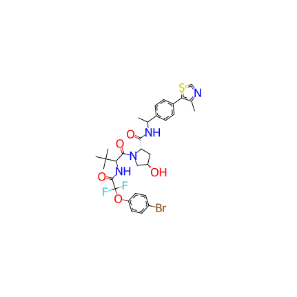 Cc1ncsc1-c1ccc(C(C)NC(=O)[C@@H]2C[C@@H](O)CN2C(=O)C(NC(=O)C(F)(F)Oc2ccc(Br)cc2)C(C)(C)C)cc1